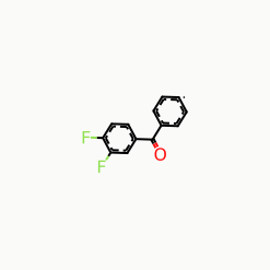 O=C(c1cc[c]cc1)c1ccc(F)c(F)c1